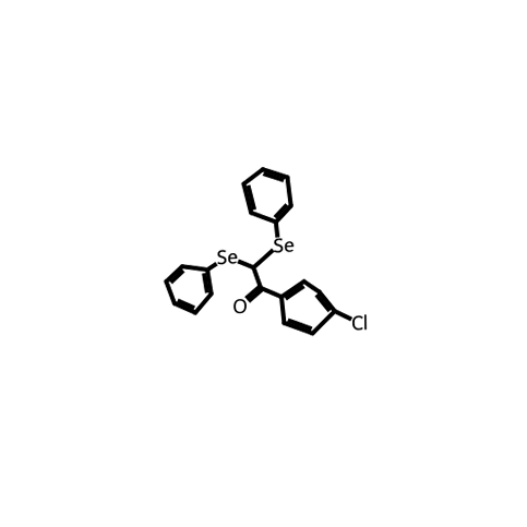 O=C(c1ccc(Cl)cc1)C([Se]c1ccccc1)[Se]c1ccccc1